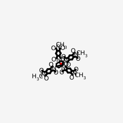 Cn1c(=O)c2cc3c(=O)n(C45CC6(n7c(=O)c8cc9c(=O)n(C)c(=O)c9cc8c7=O)CC(n7c(=O)c8cc9c(=O)n(C)c(=O)c9cc8c7=O)(C4)CC(n4c(=O)c7cc8c(=O)n(C)c(=O)c8cc7c4=O)(C5)C6)c(=O)c3cc2c1=O